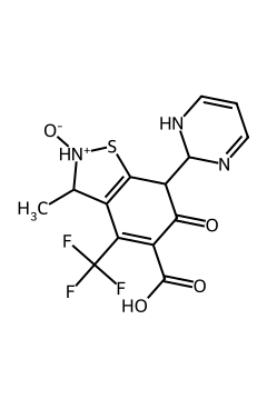 CC1C2=C(S[NH+]1[O-])C(C1N=CC=CN1)C(=O)C(C(=O)O)=C2C(F)(F)F